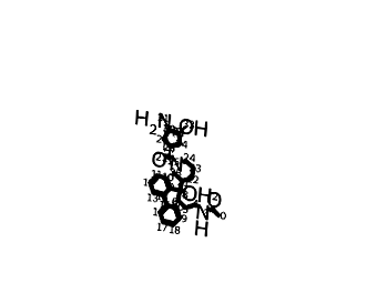 CC(=O)NCCCC(O)(c1ccccc1-c1ccccc1)C1CCCN(C(=O)[C@H]2C[C@@H](N)[C@@H](O)C2)C1